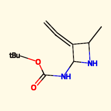 C=C=C1C(C)NC1NC(=O)OC(C)(C)C